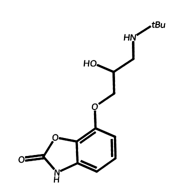 CC(C)(C)NCC(O)COc1cccc2[nH]c(=O)oc12